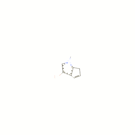 Cn1cc(Br)c2c1CC=C2